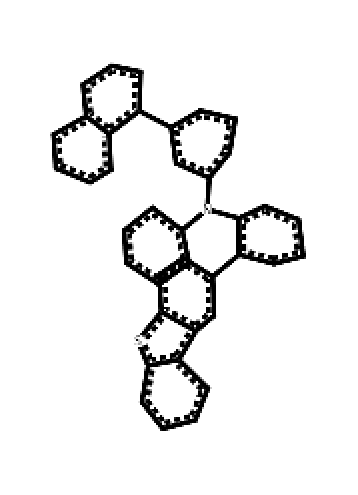 c1ccc(N(c2cccc(-c3cccc4ccccc34)c2)c2ccccc2-c2ccc3sc4ccccc4c3c2)cc1